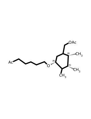 CC(=O)CCCCCO[C@@H]1CC(COC(C)=O)[C@H](C)[C@H](C)C1C